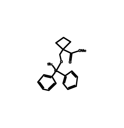 COC(=O)C1(CO[Si](c2ccccc2)(c2ccccc2)C(C)(C)C)CCC1